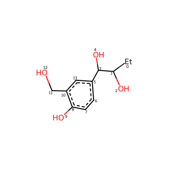 CCC(O)C(O)c1ccc(O)c(CO)c1